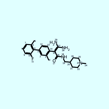 Cc1cc(-c2c(C)cccc2F)ccc1C(C(=O)NCC1CCN(C)CC1)=C(N)N